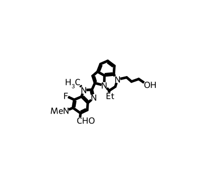 CCC1CN(CCCO)c2cccc3cc(-c4nc5cc(C=O)c(NC)c(F)c5n4C)n1c23